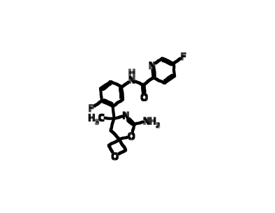 CC1(c2cc(NC(=O)c3ccc(F)cn3)ccc2F)CC2(COC2)OC(N)=N1